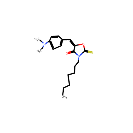 CCCCCCCN1C(=O)/C(=C\c2ccc(N(C)C)cc2)OC1=S